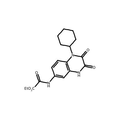 CCOC(=O)C(=O)Nc1ccc2c(c1)[nH]c(=O)c(=O)n2C1CCCCC1